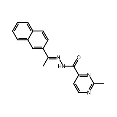 CC(=NNC(=O)c1ccnc(C)n1)c1ccc2ccccc2c1